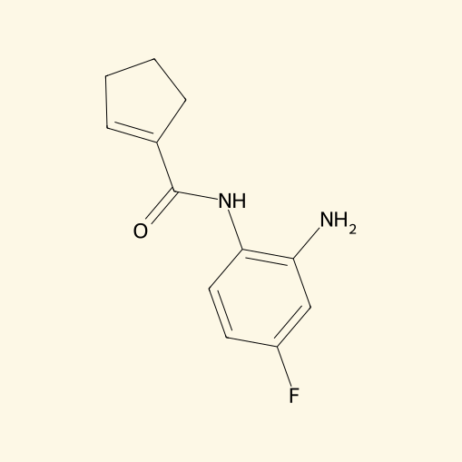 Nc1cc(F)ccc1NC(=O)C1=CCCC1